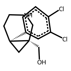 OC[C@@]12CNCC[C@]1(c1ccc(Cl)c(Cl)c1)C2